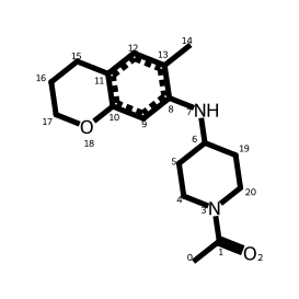 CC(=O)N1CCC(Nc2cc3c(cc2C)CCCO3)CC1